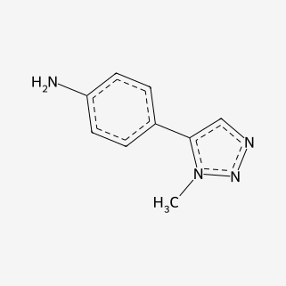 Cn1nncc1-c1ccc(N)cc1